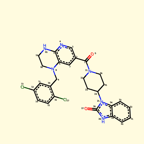 O=C(c1cnc2c(c1)N(Cc1cc(Cl)ccc1Cl)CCN2)N1CCC(n2c(=O)[nH]c3ccccc32)CC1